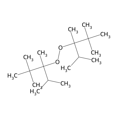 CC(C)C(C)(OOC(C)(C(C)C)C(C)(C)C)C(C)(C)C